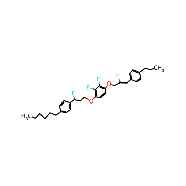 CCCCCCc1ccc(C(F)CCOc2ccc(OCC(F)Cc3ccc(CCC)cc3)c(F)c2F)cc1